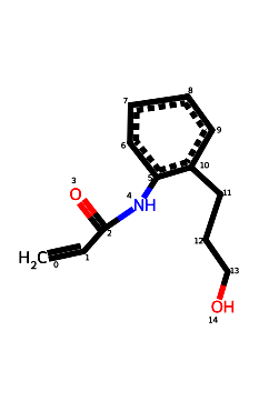 C=CC(=O)Nc1ccccc1CCCO